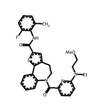 CCN(CCOC)c1cccc(C(=O)N2CCc3cc(C(=O)Nc4c(C)cccc4F)sc3-c3ccccc32)n1